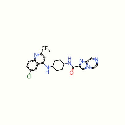 O=C(NC1CCC(Nc2cc(C(F)(F)F)nc3ccc(Cl)cc23)CC1)c1cn2ccncc2n1